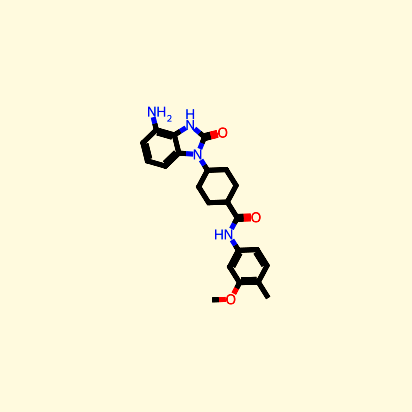 COc1cc(NC(=O)C2CCC(n3c(=O)[nH]c4c(N)cccc43)CC2)ccc1C